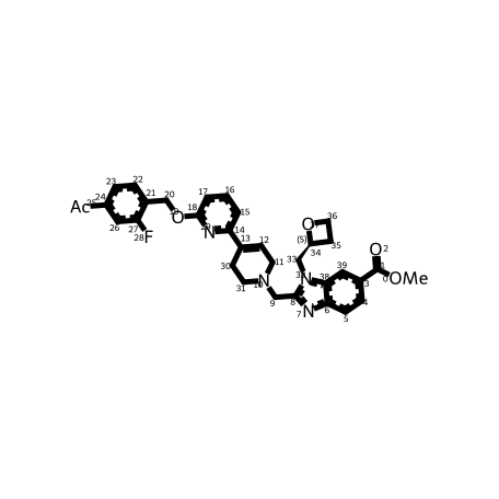 COC(=O)c1ccc2nc(CN3CC=C(c4cccc(OCc5ccc(C(C)=O)cc5F)n4)CC3)n(C[C@@H]3CCO3)c2c1